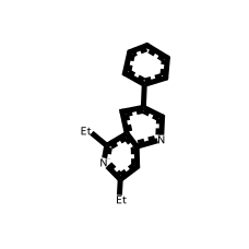 CCc1cc2ncc(-c3ccccc3)cc2c(CC)n1